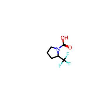 O=C(O)N1CCCC1C(F)(F)F